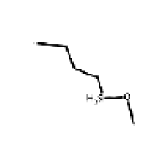 [CH2]CCC[SiH2]OC